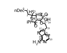 CCCCCCCCCCCCC(S)(S)C[C@H](C(=O)C(C)C)[C@H](O[C@H](C)Cn1cnc2c(N)ncnc21)P(=O)(O)O